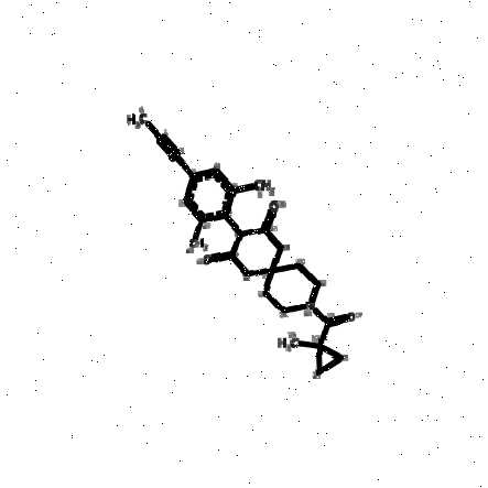 CC#Cc1cc(C)c(C2C(=O)CC3(CCN(C(=O)C4(C)CC4)CC3)CC2=O)c(C)c1